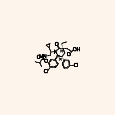 CC[C@]1(CC(=O)O)C[C@H](c2cccc(Cl)c2)[C@@H](c2ccc(Cl)cc2)N(C(CNS(=O)(=O)C(C)C)C2CC2)C1=O